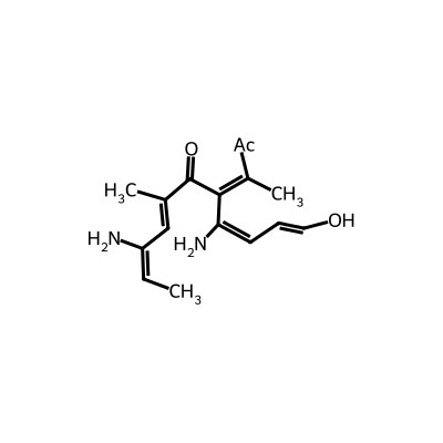 C/C=C(N)\C=C(/C)C(=O)C(=C(/C)C(C)=O)/C(N)=C\C=C\O